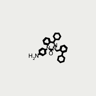 Nc1ccc(N2C(=O)N(Cc3ccccc3C3CCCCC3)N=C(C3CCCCC3)c3ccccc32)cc1